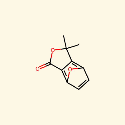 CC1(C)OC(=O)c2c1c1ccc2o1